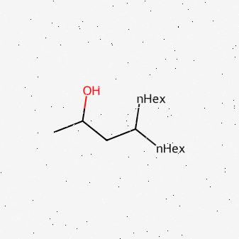 CCCCCCC(CCCCCC)CC(C)O